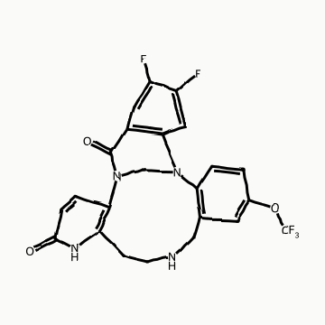 O=C1c2cc(F)c(F)cc2N2CN1c1ccc(=O)[nH]c1CCNCc1cc(OC(F)(F)F)ccc12